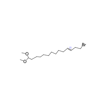 COC(CCCCCCCCC/C=C/CCBr)OC